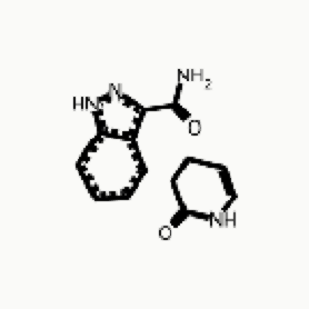 NC(=O)c1n[nH]c2ccccc12.O=C1CCC=CN1